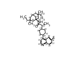 CCC1(C)CC2CC(C)(C)CC(NC(=O)[C@H](C)C3CCC(c4ccnc5ccc(F)cc45)CC3)(C2)C1